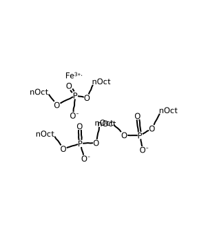 CCCCCCCCOP(=O)([O-])OCCCCCCCC.CCCCCCCCOP(=O)([O-])OCCCCCCCC.CCCCCCCCOP(=O)([O-])OCCCCCCCC.[Fe+3]